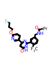 CC(C)C(=O)NCc1ccc(C(F)(F)F)c(-c2nc(-c3ccc(OCCCF)nc3)cc(=O)[nH]2)c1